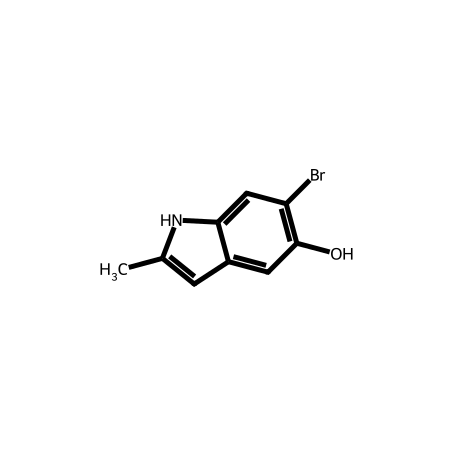 Cc1cc2cc(O)c(Br)cc2[nH]1